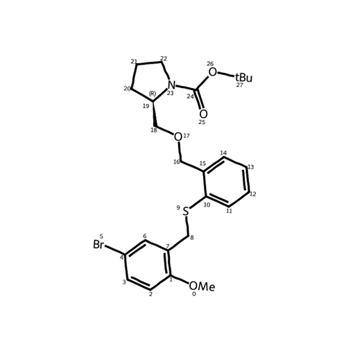 COc1ccc(Br)cc1CSc1ccccc1COC[C@H]1CCCN1C(=O)OC(C)(C)C